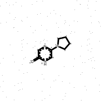 O=c1[c]nc(N2CCCC2)c[nH]1